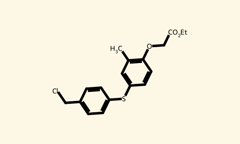 CCOC(=O)COc1ccc(Sc2ccc(CCl)cc2)cc1C